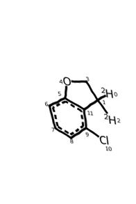 [2H]C1([2H])COc2cccc(Cl)c21